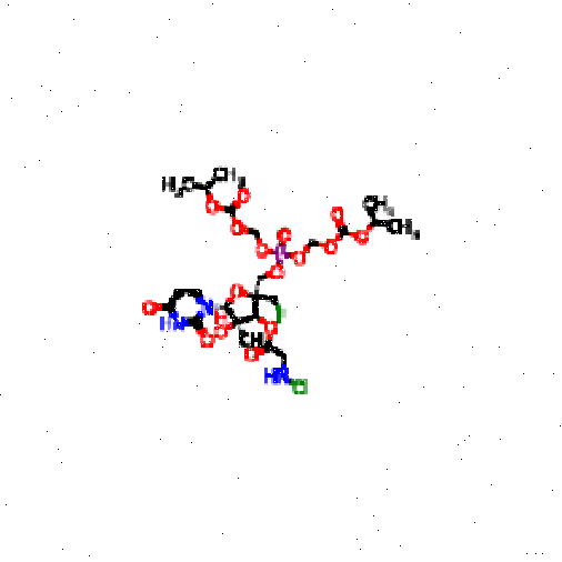 CC(C)OC(=O)OCOP(=O)(OCOC(=O)OC(C)C)OC[C@@]1(CF)O[C@@H](n2ccc(=O)[nH]c2=O)[C@](C)(O)[C@@H]1OC(=O)CNCl